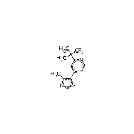 Cc1ncsc1-c1ccnc(C(C)(C)C(F)(F)F)c1